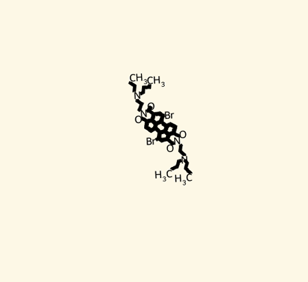 CCCCN(CCCC)CCCN1C(=O)c2ccc3c4c(Br)cc5c6c(ccc(c7c(Br)cc(c2c37)C1=O)c64)C(=O)N(CCCN(CCCC)CCCC)C5=O